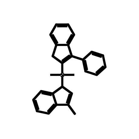 CC1=CC([Si](C)(C)C2=C(c3ccccc3)c3ccccc3C2)c2ccccc21